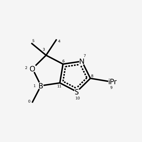 CB1OC(C)(C)c2nc(C(C)C)sc21